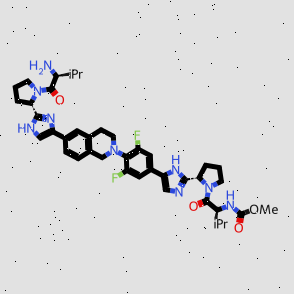 COC(=O)N[C@H](C(=O)N1CCC[C@H]1c1ncc(-c2cc(F)c(N3CCc4cc(-c5c[nH]c([C@@H]6CCCN6C(=O)[C@@H](N)C(C)C)n5)ccc4C3)c(F)c2)[nH]1)C(C)C